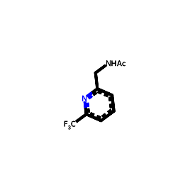 CC(=O)NCc1cccc(C(F)(F)F)n1